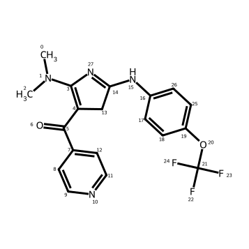 CN(C)C1=C(C(=O)c2ccncc2)CC(Nc2ccc(OC(F)(F)F)cc2)=N1